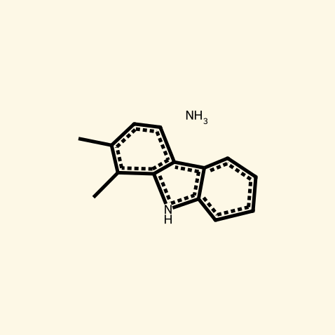 Cc1ccc2c([nH]c3ccccc32)c1C.N